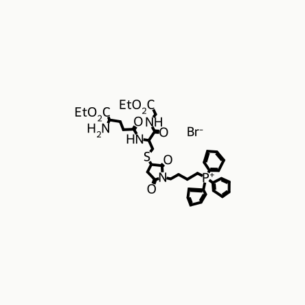 CCOC(=O)CNC(=O)C(CSC1CC(=O)N(CCCC[P+](c2ccccc2)(c2ccccc2)c2ccccc2)C1=O)NC(=O)CCC(N)C(=O)OCC.[Br-]